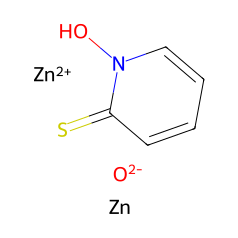 On1ccccc1=S.[O-2].[Zn+2].[Zn]